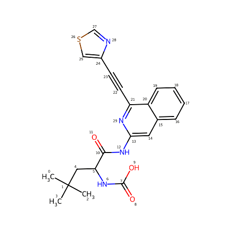 CC(C)(C)CC(NC(=O)O)C(=O)Nc1cc2ccccc2c(C#Cc2cscn2)n1